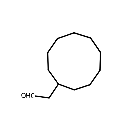 O=CCC1CCCCCCCCC1